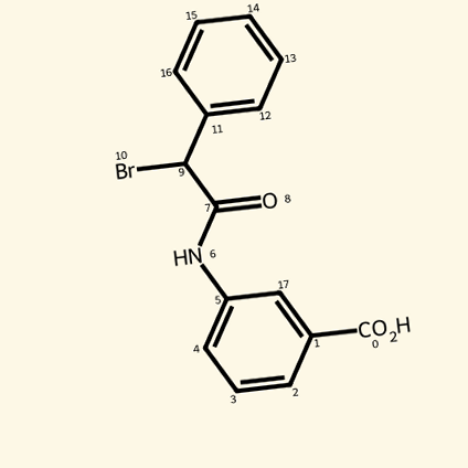 O=C(O)c1cccc(NC(=O)C(Br)c2ccccc2)c1